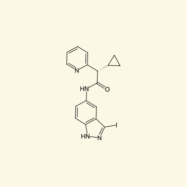 O=C(Nc1ccc2[nH]nc(I)c2c1)[C@H](c1ccccn1)C1CC1